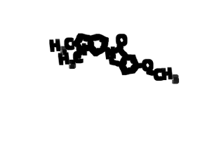 CCOc1ccc2c(c1)C(=O)N(c1ccc3cc(C)n(C)c3c1)C2